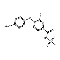 COc1ccc(Oc2ccc(C(=O)NS(C)(=O)=O)cc2F)cn1